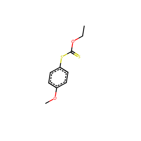 CCOC(=S)Sc1ccc(OC)cc1